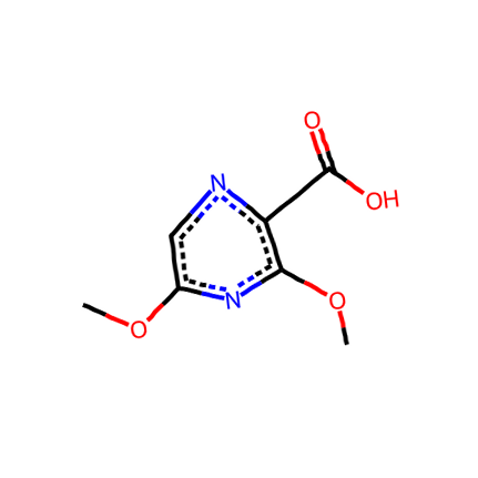 COc1cnc(C(=O)O)c(OC)n1